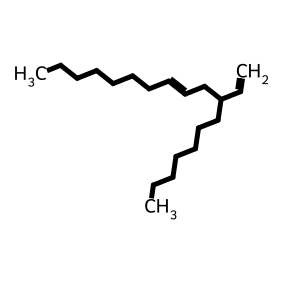 C=CC(CC=CCCCCCCC)CCCCCCC